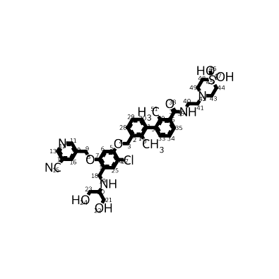 Cc1c(COc2cc(OCc3cncc(C#N)c3)c(CNC(CO)CO)cc2Cl)cccc1-c1cccc(C(=O)NCCN2CCS(O)(O)CC2)c1C